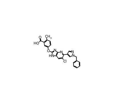 Cc1ccc(Oc2nc3nc(-c4cnn(Cc5ccccc5)c4)c(Cl)cc3[nH]2)cc1C(=O)O